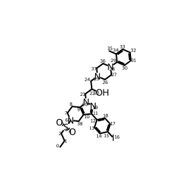 CCCS(=O)(=O)N1CCc2c(c(-c3ccc(I)cc3)nn2CC(O)CN2CCN(c3ccccc3C)CC2)C1